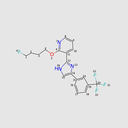 FCCCCOc1ncccc1-c1nc(-c2cccc(C(F)(F)F)c2)c[nH]1